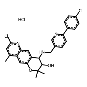 Cc1cc(Cl)nc2cc3c(cc12)OC(C)(C)C(O)C3NCc1ccc(-c2ccc(Cl)cc2)nc1.Cl